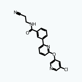 N#CCCNC(=O)c1cccc(-c2cccc(Oc3cncc(Cl)c3)n2)c1